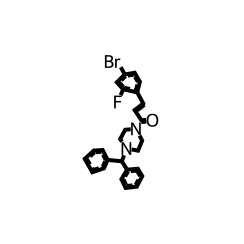 O=C(/C=C/c1ccc(Br)cc1F)N1CCN(C(c2ccccc2)c2ccccc2)CC1